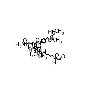 CNCCN(C)OCc1ccc(NC(=O)[C@H](CCCNC(N)=O)N2C=C([C@@H](NC(=O)CCCCCNC(=O)/C=C\C=O)C(C)C)NN2)cc1